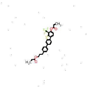 C=CC(=O)OCCCc1ccc(-c2ccc3c(c2)sc2c(C(F)(F)F)c(OC(=O)C=C)ccc23)cc1